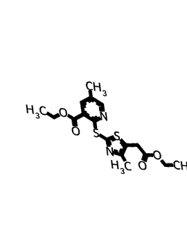 CCOC(=O)Cc1sc(Sc2ncc(C)cc2C(=O)OCC)nc1C